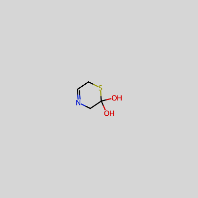 OC1(O)CN=CCS1